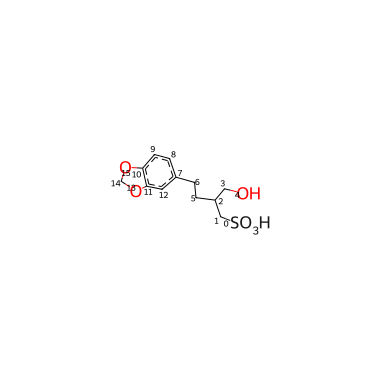 O=S(=O)(O)CC(CO)CCc1ccc2c(c1)OCO2